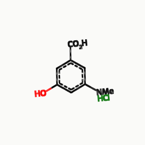 CNc1cc(O)cc(C(=O)O)c1.Cl